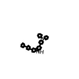 c1ccc(-c2ccc(-c3ccc4[nH]c5ccc(-c6ccc(N(c7ccccc7)c7ccccc7)cc6)cc5c4c3)cc2)cc1